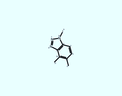 Cc1ccc2c(nnn2I)c1C